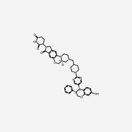 O=C1CCC(N2Cc3cc4c(cc3C2=O)OC[C@@H]2CN(CC3CCN(c5ncc([C@H]6c7ccc(O)cc7OC[C@H]6c6ccccc6)cn5)CC3)CCN42)C(=O)N1